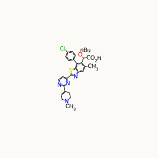 CCCCOC(C(=O)O)c1c(C)cc2nc(-c3ccnc(C4=CCN(C)CC4)n3)sc2c1-c1ccc(Cl)cc1